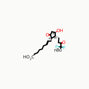 CCCCC(F)(F)C(=O)CC[C@H]1[C@H](O)CC(=O)[C@@H]1CC=CCCCCCC(=O)O